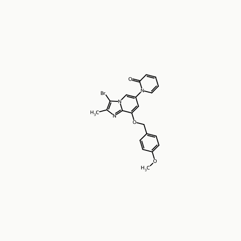 COc1ccc(COc2cc(-n3ccccc3=O)cn3c(Br)c(C)nc23)cc1